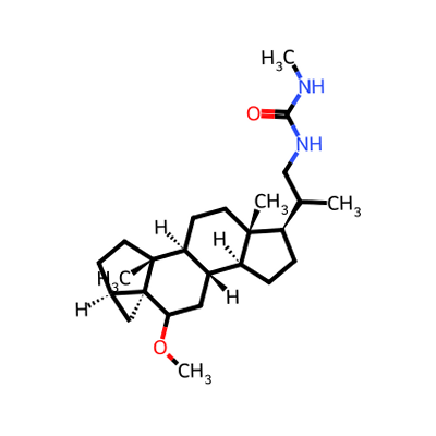 CNC(=O)NCC(C)[C@H]1CC[C@H]2[C@@H]3CC(OC)[C@@]45C[C@H]4CC[C@]5(C)[C@H]3CC[C@]12C